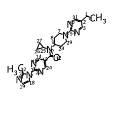 CCc1cnc(N2CCC(N(C(=O)c3cnc(-n4ccnc4C)nc3)C3CC3)CC2)nc1